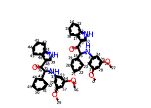 COc1cc(NC(C(=O)c2c[nH]c3ccccc23)c2ccccc2)cc(OC)c1.COc1cc(NC(C(=O)c2c[nH]c3ccccc23)c2ccccc2)cc(OC)c1